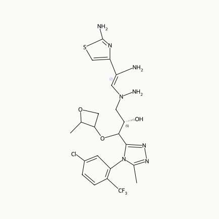 Cc1nnc(C(OC2COC2C)[C@@H](O)CN(N)/C=C(\N)c2csc(N)n2)n1-c1cc(Cl)ccc1C(F)(F)F